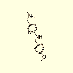 COc1ccc(CNc2ccc(CN(C)C)cn2)cc1